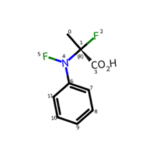 C[C@@](F)(C(=O)O)N(F)c1ccccc1